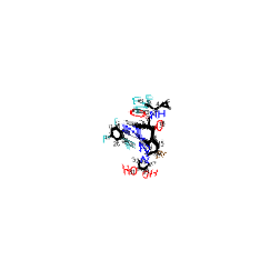 O=C(NC(C1CC1)C(F)(F)F)c1cn(-c2c(F)cc(F)cc2F)c2nc(N3C[C@@H](O)[C@H](O)C3)c(Br)cc2c1=O